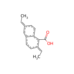 CC=c1ccc2c(C(=O)O)c(=CC)ccc2c1